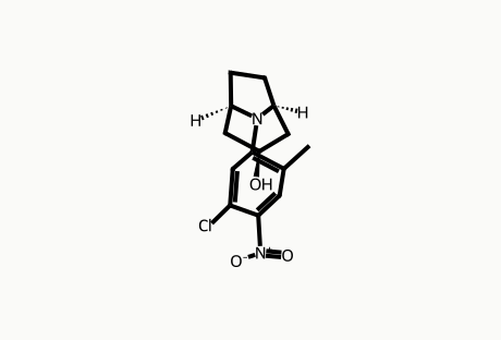 Cc1cc([N+](=O)[O-])c(Cl)cc1N1[C@@H]2CC[C@H]1C[C@@H](O)C2